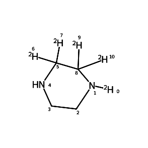 [2H]N1CCNC([2H])([2H])C1([2H])[2H]